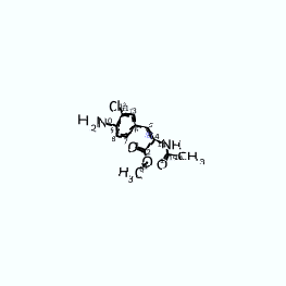 COC(=O)/C(=C\c1ccc(N)c(Cl)c1)NC(C)=O